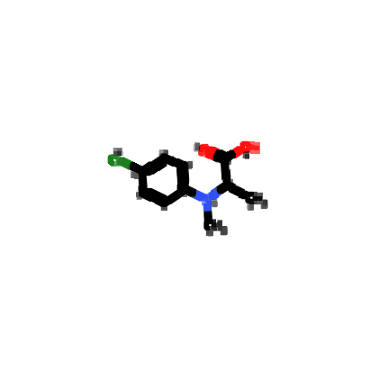 CC(C(=O)O)N(C)c1ccc(Cl)cc1